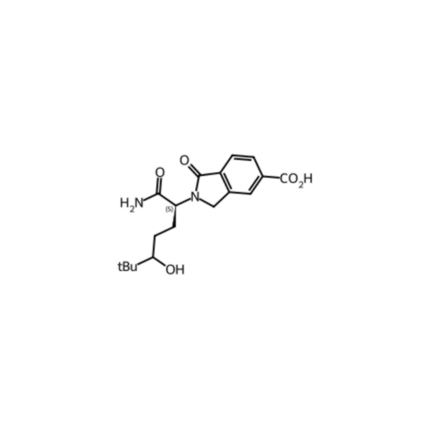 CC(C)(C)C(O)CC[C@@H](C(N)=O)N1Cc2cc(C(=O)O)ccc2C1=O